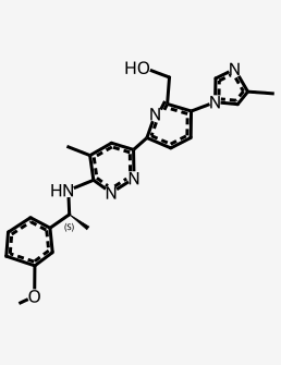 COc1cccc([C@H](C)Nc2nnc(-c3ccc(-n4cnc(C)c4)c(CO)n3)cc2C)c1